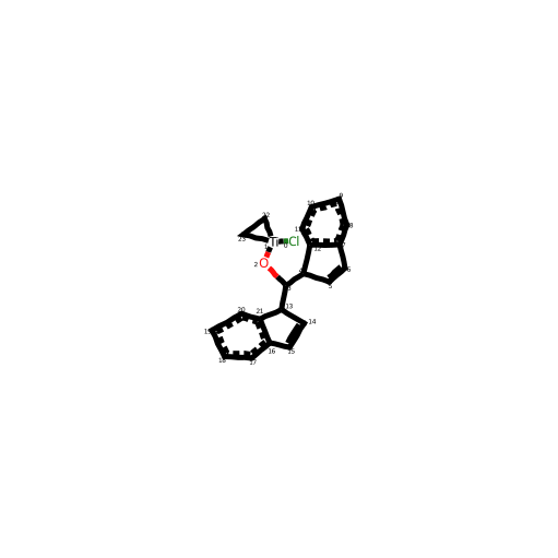 [Cl][Ti]1([O]C(C2C=Cc3ccccc32)C2C=Cc3ccccc32)[CH2][CH2]1